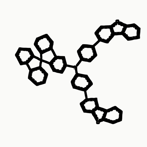 c1ccc2c(c1)-c1ccccc1C21c2ccccc2-c2cc(N(c3ccc(-c4ccc5oc6ccccc6c5c4)cc3)c3ccc(-c4ccc5oc6ccccc6c5c4)cc3)ccc21